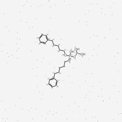 OP(O)O[PH](O)(OCCCCCc1ccccc1)OCCCCCc1ccccc1